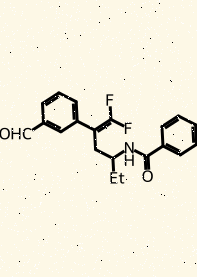 CCC(CC(=C(F)F)c1cccc(C=O)c1)NC(=O)c1ccccc1